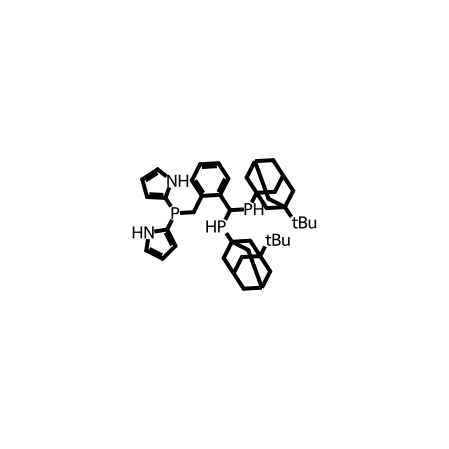 CC(C)(C)C12CC3CC(CC(PC(PC45CC6CC(C4)CC(C(C)(C)C)(C6)C5)c4ccccc4CP(c4ccc[nH]4)c4ccc[nH]4)(C3)C1)C2